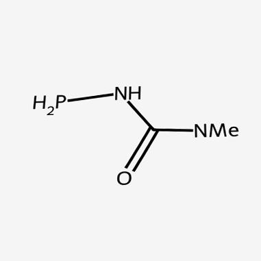 CNC(=O)NP